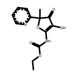 CCOC(=O)NC1=C(O)C(=O)C(C)(c2ccccn2)O1